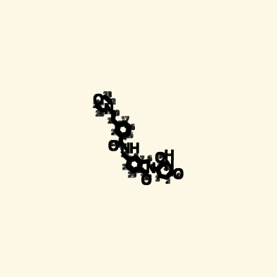 O=C1CCC(N2Cc3cc(CNC(=O)c4cccc(CCN5CCOCC5)c4)ccc3C2=O)C(=O)N1